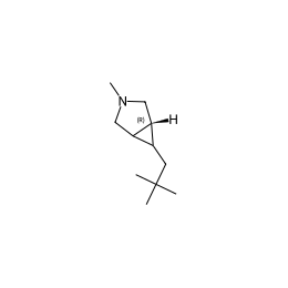 CN1CC2C(CC(C)(C)C)[C@H]2C1